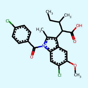 CCC(C)C(C(=O)O)c1c(C)n(C(=O)c2ccc(Cl)cc2)c2cc(Cl)c(OC)cc12